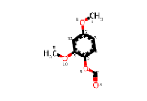 COc1ccc(O[C]=O)c(OC)c1